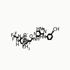 C#Cc1cccc(NC2=NCNc3cnc(NC(=O)/C=C/C[N+](C)(C)Cc4[nH]c(C(F)(F)F)nc4[N+](=O)[O-])cc32)c1